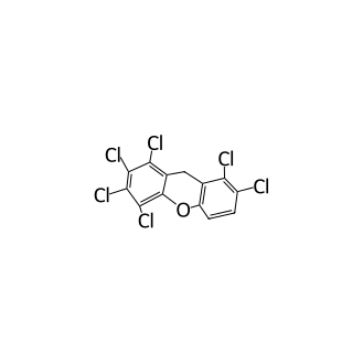 Clc1ccc2c(c1Cl)Cc1c(Cl)c(Cl)c(Cl)c(Cl)c1O2